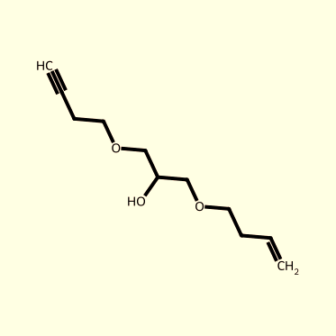 C#CCCOCC(O)COCCC=C